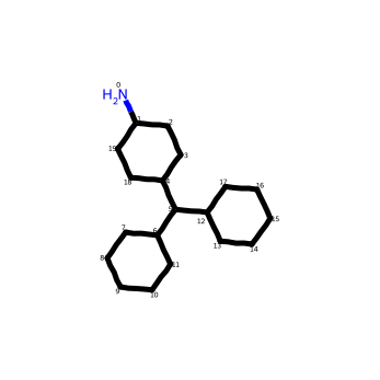 NC1CCC(C(C2CCCCC2)C2CCCCC2)CC1